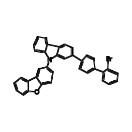 Brc1ccccc1-c1ccc(-c2ccc3c4ccccc4n(-c4ccc5oc6ccccc6c5c4)c3c2)cc1